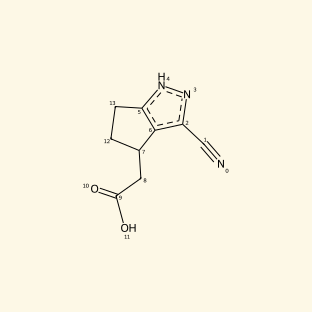 N#Cc1n[nH]c2c1C(CC(=O)O)CC2